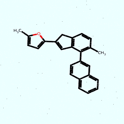 Cc1ccc(C2=Cc3c(ccc(C)c3-c3ccc4ccccc4c3)C2)o1